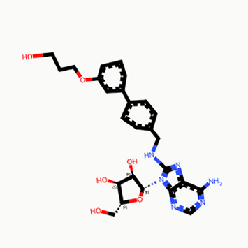 Nc1ncnc2c1nc(NCc1ccc(-c3cccc(OCCCO)c3)cc1)n2[C@@H]1O[C@H](CO)[C@@H](O)[C@H]1O